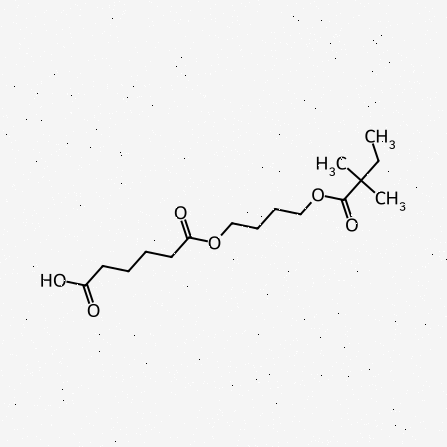 CCC(C)(C)C(=O)OCCCCOC(=O)CCCCC(=O)O